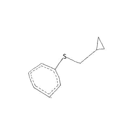 [c]1cccc(SCC2CC2)c1